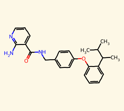 CC(C)C(C)c1ccccc1Oc1ccc(CNC(=O)c2cccnc2N)cc1